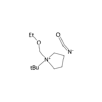 CCOC[N+]1(C(C)(C)C)CCCC1.[N-]=C=O